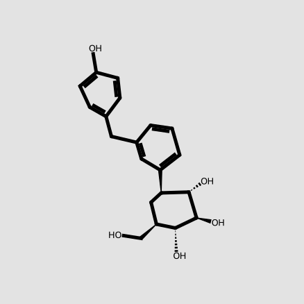 OC[C@H]1C[C@@H](c2cccc(Cc3ccc(O)cc3)c2)[C@H](O)[C@@H](O)[C@@H]1O